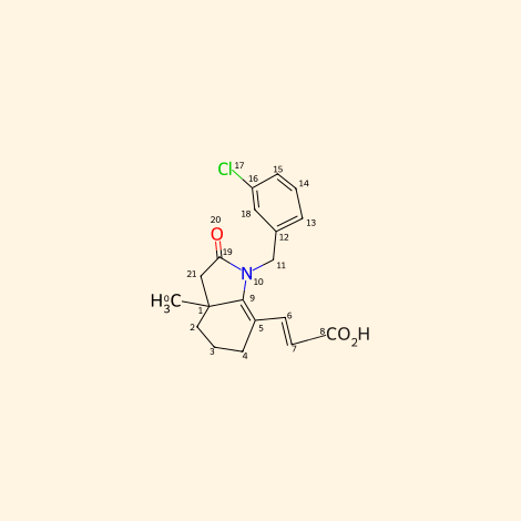 CC12CCCC(C=CC(=O)O)=C1N(Cc1cccc(Cl)c1)C(=O)C2